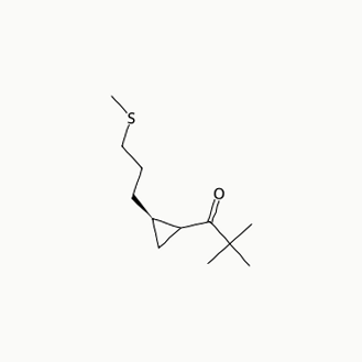 CSCCC[C@@H]1CC1C(=O)C(C)(C)C